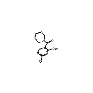 COc1cc(Cl)ccc1C(=O)N1CCCCC1